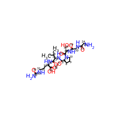 CC(C)[C@H](NC(=O)[C@@H]1CCCN1C(=O)[C@H](CO)NC(=O)CNC(=O)CN)C(=O)N[C@@H](CCCNC(N)=O)C(=O)O